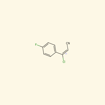 N#C/C=C(/Cl)c1ccc(F)cc1